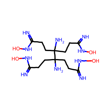 N=C(CCC(N)(CCC(=N)NO)C(N)(CCC(=N)NO)CCC(=N)NO)NO